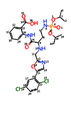 CC(C)OP(=O)(NCCC(NCc1ncc(-c2cc(Cl)ccc2Cl)o1)C(=O)Nc1ccccc1C(=O)O)OC(C)C